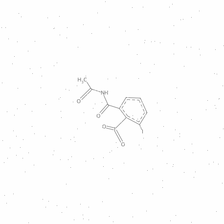 CC(=O)NC(=O)c1cccc(I)c1I(=O)=O